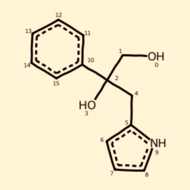 OCC(O)(Cc1ccc[nH]1)c1ccccc1